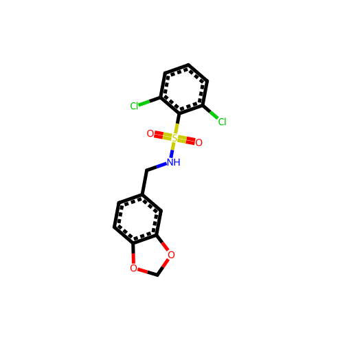 O=S(=O)(NCc1ccc2c(c1)OCO2)c1c(Cl)cccc1Cl